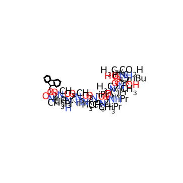 CCCCC(C)=C(O)[C@@H](C(=O)N[C@H](C(=O)O)[C@@H](C)O)N(C)C(=O)[C@H](C(C)C)N(C)C(=O)[C@H](CC(C)C)NC(=O)[C@H](CC(C)C)N(C)C(=O)[C@@H](C)N(CC(C)C)C(=O)[C@H](C)NC(=O)CN(C)C(=O)[C@H](CC(C)C)NC(=O)[C@H](CC(C)C)N(C)C(=O)[C@@H](C)N(C)C(=O)OCC1c2ccccc2-c2ccccc21